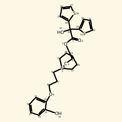 O=C(OC1C[N+]2(CCCOc3ccccc3O)CCC1CC2)C(O)(c1cccs1)c1cccs1